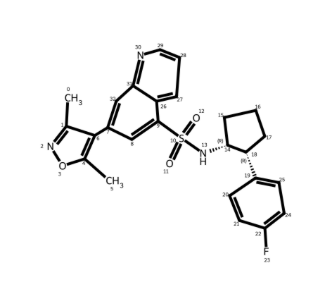 Cc1noc(C)c1-c1cc(S(=O)(=O)N[C@@H]2CCC[C@@H]2c2ccc(F)cc2)c2cccnc2c1